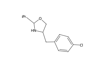 CC(C)C1NC(Cc2ccc(Cl)cc2)CO1